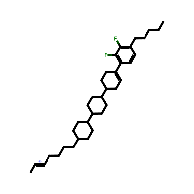 C/C=C/CCCCC1CCC(C2CCC(C3CC=C(c4ccc(CCCCC)c(F)c4F)CC3)CC2)CC1